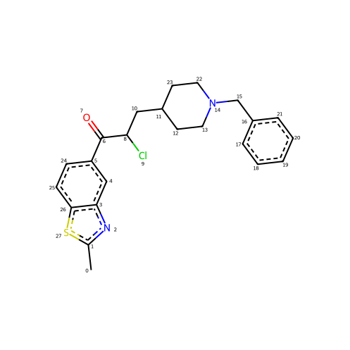 Cc1nc2cc(C(=O)C(Cl)CC3CCN(Cc4ccccc4)CC3)ccc2s1